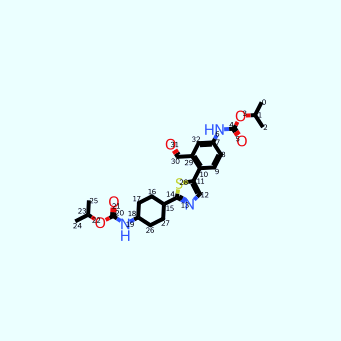 CC(C)OC(=O)Nc1ccc(-c2cnc(C3CCC(NC(=O)OC(C)C)CC3)s2)c(C=O)c1